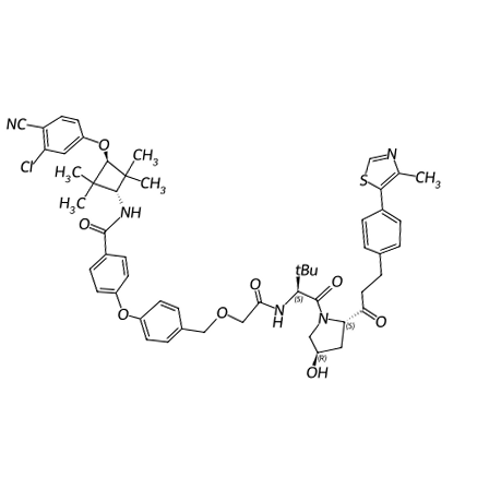 Cc1ncsc1-c1ccc(CCC(=O)[C@@H]2C[C@@H](O)CN2C(=O)[C@@H](NC(=O)COCc2ccc(Oc3ccc(C(=O)N[C@H]4C(C)(C)[C@H](Oc5ccc(C#N)c(Cl)c5)C4(C)C)cc3)cc2)C(C)(C)C)cc1